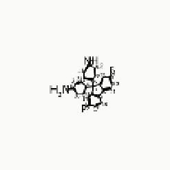 Nc1ccc(C2(c3ccc(N)cc3)c3cc(F)ccc3-c3ccc(F)cc32)cc1